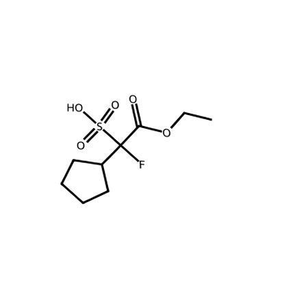 CCOC(=O)C(F)(C1CCCC1)S(=O)(=O)O